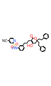 N#Cc1ccnc(S(=O)(=O)Nc2cccc(CCCC3=C(O)CC(CCc4ccccc4)(CCc4ccccc4)OC3=O)c2)c1